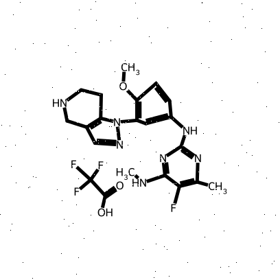 CNc1nc(Nc2ccc(OC)c(-n3ncc4c3CCNC4)c2)nc(C)c1F.O=C(O)C(F)(F)F